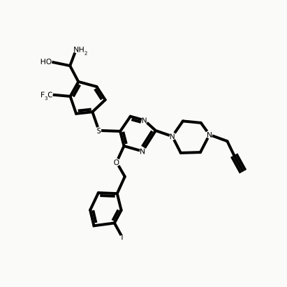 C#CCN1CCN(c2ncc(Sc3ccc(C(N)O)c(C(F)(F)F)c3)c(OCc3cccc(I)c3)n2)CC1